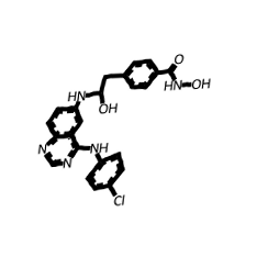 O=C(NO)c1ccc(CC(O)Nc2ccc3ncnc(Nc4ccc(Cl)cc4)c3c2)cc1